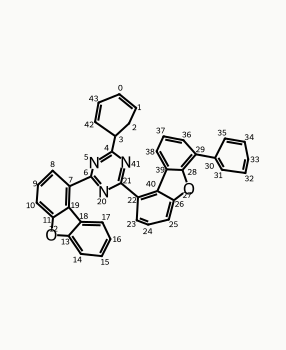 C1=CCC(c2nc(-c3cccc4oc5ccccc5c34)nc(-c3cccc4oc5c(-c6ccccc6)cccc5c34)n2)C=C1